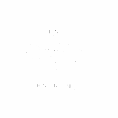 CCOc1cc(Cc2cnc(N)nc2N)cc(OS(=O)(=O)CC2CCCO2)c1-c1cccc(N)c1